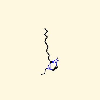 CCCCCCCCCc1n(CCC)cc[n+]1C